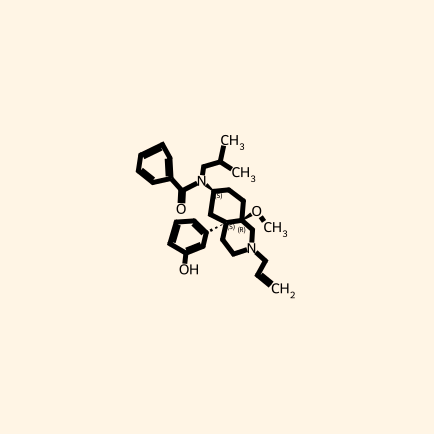 C=CCN1CC[C@@]2(c3cccc(O)c3)C[C@@H](N(CC(C)C)C(=O)c3ccccc3)CC[C@]2(OC)C1